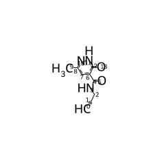 C#CCNC(=O)c1cc(C)n[nH]c1=O